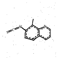 Cc1c(N=C=S)ccc2cccnc12